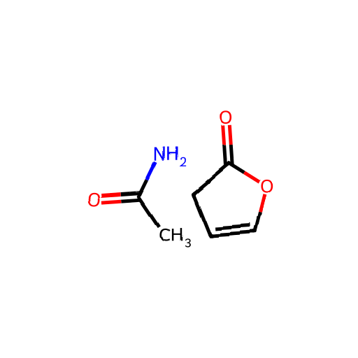 CC(N)=O.O=C1CC=CO1